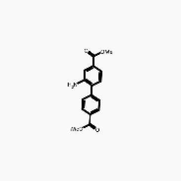 COC(=O)c1ccc(-c2ccc(C(=O)OC)cc2N)cc1